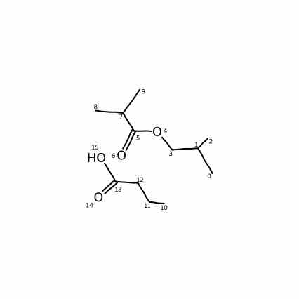 CC(C)COC(=O)C(C)C.CCCC(=O)O